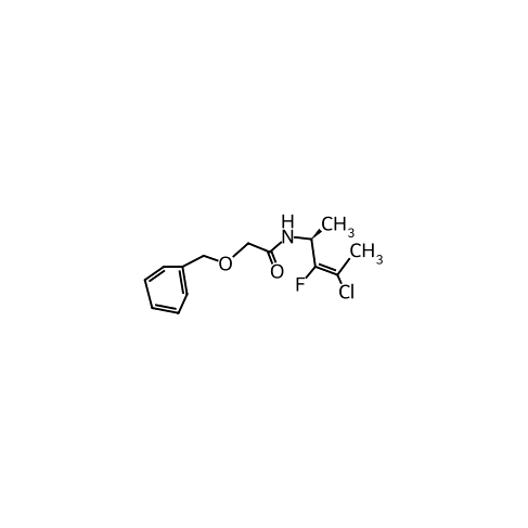 C/C(Cl)=C(/F)[C@H](C)NC(=O)COCc1ccccc1